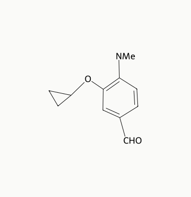 CNc1ccc(C=O)cc1OC1CC1